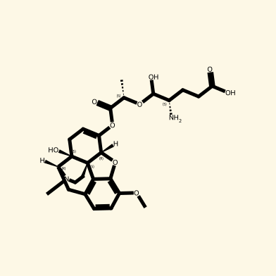 COc1ccc2c3c1O[C@H]1C(OC(=O)[C@H](C)OC(O)[C@@H](N)CCC(=O)O)=CC[C@@]4(O)[C@@H](C2)N(C)CC[C@]314